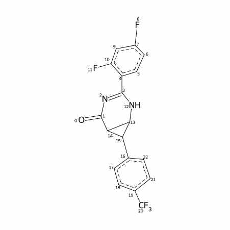 O=C1N=C(c2ccc(F)cc2F)NC2C1C2c1ccc(C(F)(F)F)cc1